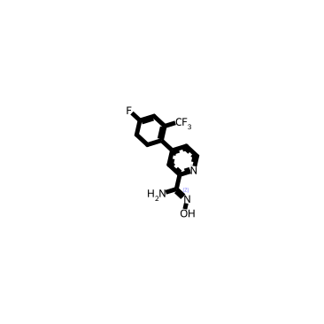 N/C(=N\O)c1cc(C2=C(C(F)(F)F)C=C(F)CC2)ccn1